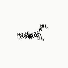 CCc1cc(Nc2nccn3c(-c4cn(CC(C)CO)nc4C(F)(F)F)cnc23)ccc1C(=O)NCCOCCN